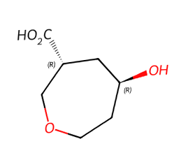 O=C(O)[C@H]1COCC[C@H](O)C1